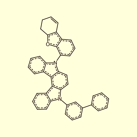 C1=Cc2c(oc3c(-n4c5ccccc5c5c6c7ccccc7n(-c7cccc(-c8ccccc8)c7)c6ccc54)cccc23)CC1